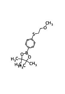 COCCSc1ccc(B2OC(C)(C)C(C)(C)O2)cc1